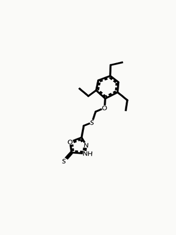 CCc1cc(CC)c(OCSCc2n[nH]c(=S)o2)c(CC)c1